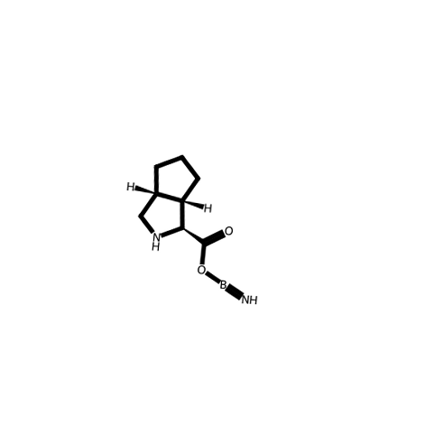 N=BOC(=O)[C@H]1NC[C@@H]2CCC[C@@H]21